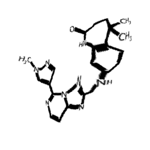 Cn1cc(-c2nccc3nc(Nc4ccc5c(c4)NC(=O)CCC5(C)C)nn23)cn1